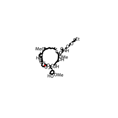 CCOCCOCCOCCNC(=O)CO/N=C1\[C@H](C)C[C@H](C)C(C)C/C=C/C=C(\C)[C@@H](OC)C[C@@H]2CC[C@@H](C)[C@@](O)(O2)C(=O)C(=O)N2CCCC[C@H]2C(=O)O[C@H]([C@H](C)C[C@@H]2CC[C@@H](O)[C@H](OC)C2)C[C@@H](O)[C@H](C)/C=C(\C)[C@@H](O)[C@H]1OC